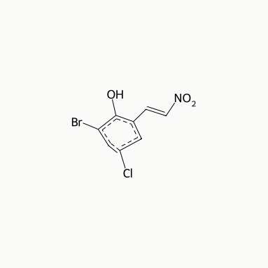 O=[N+]([O-])C=Cc1cc(Cl)cc(Br)c1O